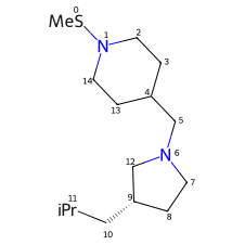 CSN1CCC(CN2CC[C@H](CC(C)C)C2)CC1